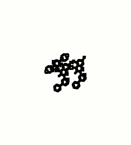 Cc1c(-c2cc(-c3ccccc3)ccn2)nc2cc(F)cc(F)c2c1Cl.Cc1c(-c2cc(-c3ccccc3)ccn2)nc2cc(F)cc(F)c2c1Nc1cc(N2CCOCC2)cnc1N1CCOCC1